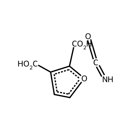 N=C=O.O=C(O)c1ccoc1C(=O)O